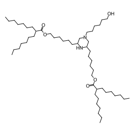 CCCCCCCC(CCCCCCC)C(=O)OCCCCCCC1CN(CCCCCCO)CC(CCCCCCOC(=O)C(CCCCCCC)CCCCCCC)N1